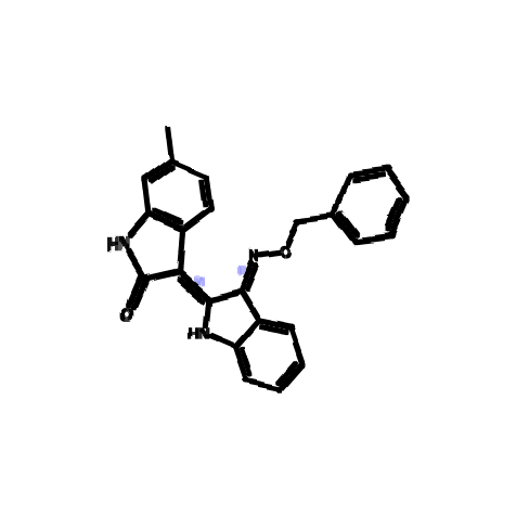 Cc1ccc2c(c1)NC(=O)/C2=C1\Nc2ccccc2\C1=N/OCc1ccccc1